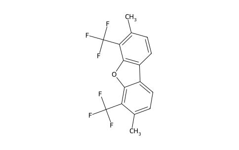 Cc1ccc2c(oc3c(C(F)(F)F)c(C)ccc32)c1C(F)(F)F